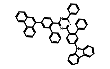 c1ccc(-c2nc(-c3ccc(-c4cc5ccccc5c5ccccc45)cc3-c3ccccc3)nc(-c3ccc(-n4c5ccccc5c5ccccc54)cc3-c3ccccc3)n2)cc1